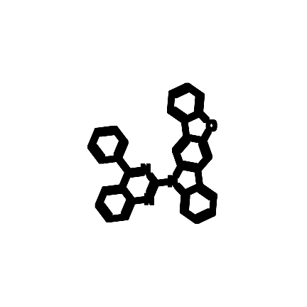 c1ccc(-c2nc(-n3c4ccccc4c4cc5oc6ccccc6c5cc43)nc3ccccc23)cc1